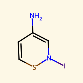 NC1=CN(I)SC=C1